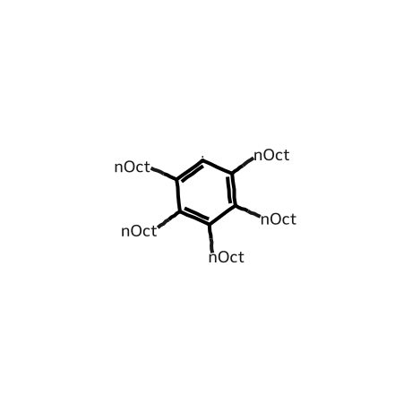 CCCCCCCCc1[c]c(CCCCCCCC)c(CCCCCCCC)c(CCCCCCCC)c1CCCCCCCC